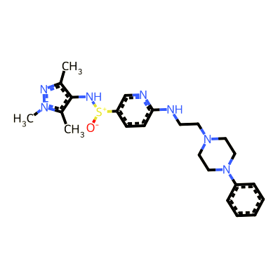 Cc1nn(C)c(C)c1N[S+]([O-])c1ccc(NCCN2CCN(c3ccccc3)CC2)nc1